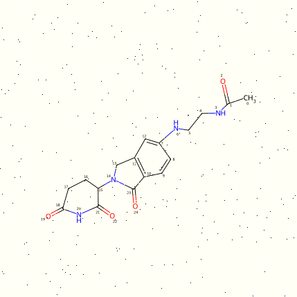 CC(=O)NCCNc1ccc2c(c1)CN(C1CCC(=O)NC1=O)C2=O